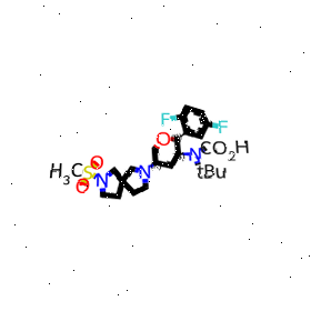 CC(C)(C)N(C(=O)O)[C@H]1C[C@@H](N2CCC3(CCN(S(C)(=O)=O)C3)C2)CO[C@@H]1c1cc(F)ccc1F